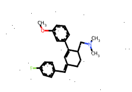 COc1cccc(C2=C/C(=C\c3ccc(F)cc3)CCC2CN(C)C)c1